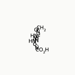 C=CC(=O)N1CCCC(Nc2nc(Nc3ccc4c(c3)CCN(C(=O)O)C4)ncc2F)C1